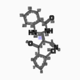 N#C/C(C(=O)c1ccccc1Cl)=C1\NC(=O)c2ccccc2N1